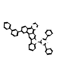 c1ccc(-c2cccc(-c3ccc4c(c3)c3cc5c6ccccc6n(-c6nc(-c7ccccc7)nc(-c7ccccc7)n6)c5cc3c3nccnc43)c2)cc1